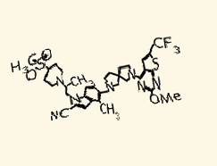 COc1nc(N2CCC3(CCN(Cc4ccc5c(cc(C#N)n5C[C@H](C)N5CCC(S(C)(=O)=O)CC5)c4C)C3)C2)c2cc(CC(F)(F)F)sc2n1